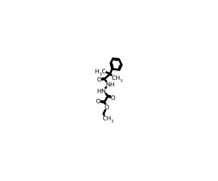 CCOC(=O)C(=O)NNC(=O)C(C)(C)c1ccccc1